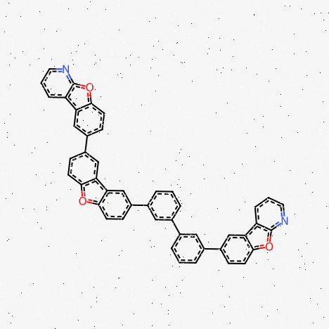 c1cc(-c2cccc(-c3ccc4oc5ncccc5c4c3)c2)cc(-c2ccc3oc4ccc(-c5ccc6oc7ncccc7c6c5)cc4c3c2)c1